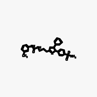 Cc1cccc(NC(=O)NCCCc2cc(-c3ccccc3)n(-c3ccc(S(N)(=O)=O)cc3)n2)c1